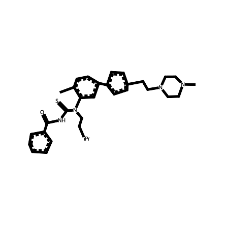 Cc1ccc(-c2ccc(CCN3CCN(C)CC3)cc2)cc1N(CCC(C)C)C(=S)NC(=O)c1ccccc1